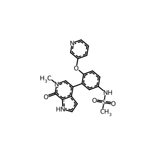 Cn1cc(-c2cc(NS(C)(=O)=O)ccc2Oc2cccnc2)c2cc[nH]c2c1=O